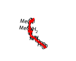 C=C1C[C@H]2C=Nc3cc(OCCCCCOc4cc(N)c(C(=O)N5CC(=C)C[C@H]5C5OCCN5C(=O)OCC(C)(C)SSCCC(=O)NCCNC(=O)CCOCCOCCOCCOCCNC(=O)CCN5C(=O)C=CC5=O)cc4OC)c(OC)cc3C(=O)N2C1